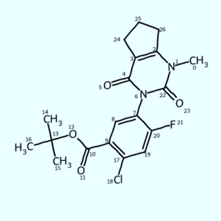 Cn1c2c(c(=O)n(-c3cc(C(=O)OC(C)(C)C)c(Cl)cc3F)c1=O)CCC2